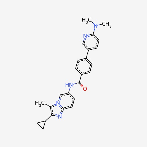 Cc1c(C2CC2)nc2ccc(NC(=O)c3ccc(-c4ccc(N(C)C)nc4)cc3)cn12